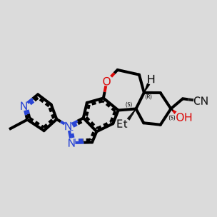 CC[C@]12CC[C@@](O)(CC#N)C[C@H]1CCOc1cc3c(cnn3-c3ccnc(C)c3)cc12